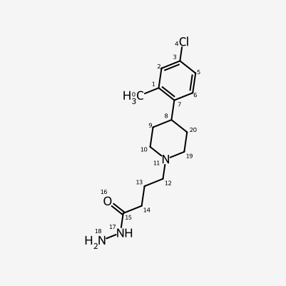 Cc1cc(Cl)ccc1C1CCN(CCCC(=O)NN)CC1